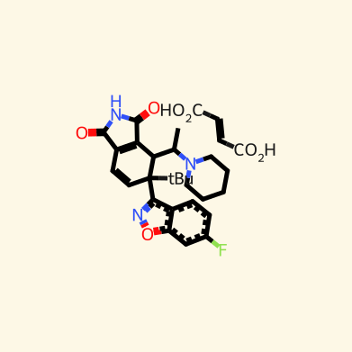 CC(C1C2=C(C=CC1(c1noc3cc(F)ccc13)C(C)(C)C)C(=O)NC2=O)N1CCCCC1.O=C(O)C=CC(=O)O